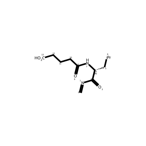 C=NC(=O)[C@@H](CC(C)C)NC(=O)CCCC(=O)O